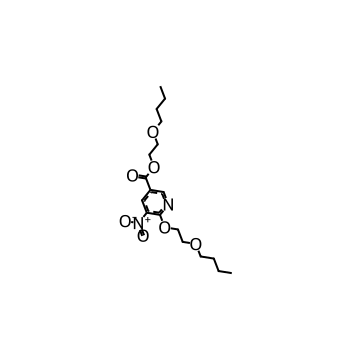 CCCCOCCOC(=O)c1cnc(OCCOCCCC)c([N+](=O)[O-])c1